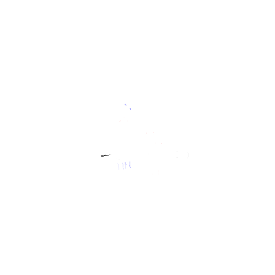 CC1(OC(=O)N[C@@H](Cc2ccccc2)C(=O)ON2CCCCC2)CCC1